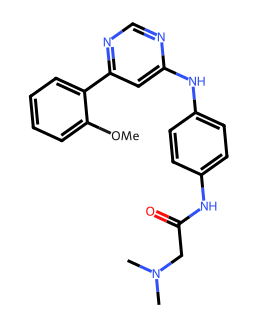 COc1ccccc1-c1cc(Nc2ccc(NC(=O)CN(C)C)cc2)ncn1